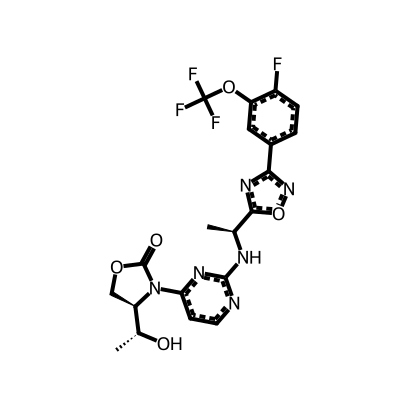 C[C@H](Nc1nccc(N2C(=O)OC[C@@H]2[C@@H](C)O)n1)c1nc(-c2ccc(F)c(OC(F)(F)F)c2)no1